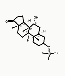 CC(C)(C)[Si](C)(C)OC1CC[C@@]2(C)[C@H](C1)C[C@@H](O)[C@@H]1[C@@H]2CC[C@]2(C)C(=O)CC[C@@H]12